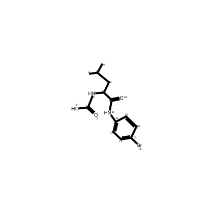 CC(C)CC(NC(=O)O)C(=O)Nc1ccc(Br)cc1